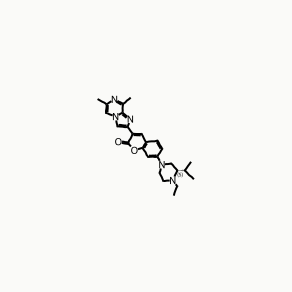 CCN1CCN(c2ccc3cc(-c4cn5cc(C)nc(C)c5n4)c(=O)oc3c2)C[C@@H]1C(C)C